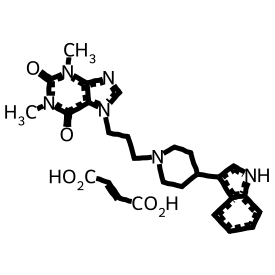 Cn1c(=O)c2c(ncn2CCCN2CCC(c3c[nH]c4ccccc34)CC2)n(C)c1=O.O=C(O)C=CC(=O)O